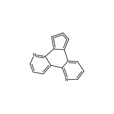 C1=C=c2c(c3ncccc3c3ncccc23)=C=1